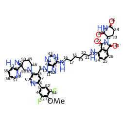 COc1c(F)cc(-c2cc(Cn3cnc4c(NCCCCCCNc5cccc6c5C(=O)N(C5CCC(=O)NC5=O)C6=O)ncnc43)c(N3CCC[C@@](N)(c4ccccn4)C3)cn2)cc1F